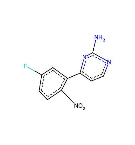 Nc1nccc(-c2cc(F)ccc2[N+](=O)[O-])n1